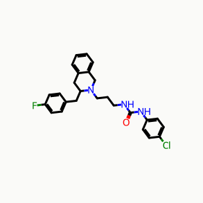 O=C(NCCCN1Cc2ccccc2CC1Cc1ccc(F)cc1)Nc1ccc(Cl)cc1